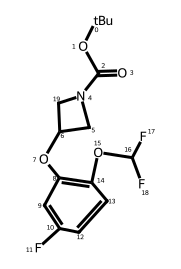 CC(C)(C)OC(=O)N1CC(Oc2cc(F)ccc2OC(F)F)C1